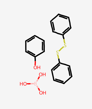 OB(O)O.Oc1ccccc1.c1ccc(SSc2ccccc2)cc1